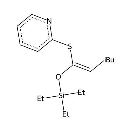 CCC(C)/C=C(/O[Si](CC)(CC)CC)Sc1ccccn1